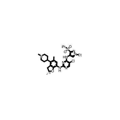 CCn1cc(Nc2nc(Nc3cc(C)c(C4CCN(C)CC4)c4c3O[C@H](C)C4)ncc2Cl)c(S(=O)(=O)C(C)C)n1